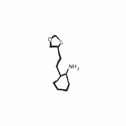 NC1CCCCC1CCC1COCO1